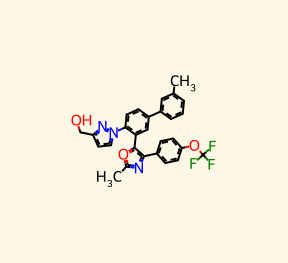 Cc1cccc(-c2ccc(-n3ccc(CO)n3)c(-c3oc(C)nc3-c3ccc(OC(F)(F)F)cc3)c2)c1